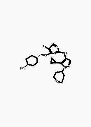 O[C@H]1CC[C@H](COc2nc(Nc3cnn(C4CCOCC4)c3C3CC3)ncc2F)CC1